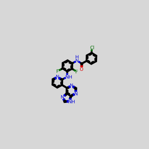 O=C(Nc1ccc(F)c(Nc2ncccc2-c2ncnc3[nH]cnc23)c1F)c1cccc(Cl)c1